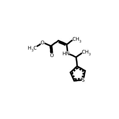 COC(=O)/C=C(/C)NC(C)c1ccsc1